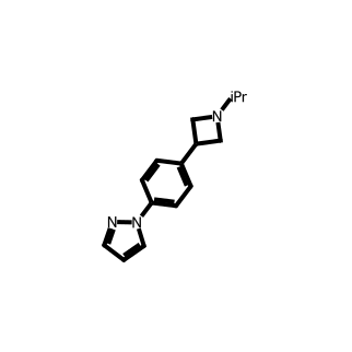 CC(C)N1CC(c2ccc(-n3cccn3)cc2)C1